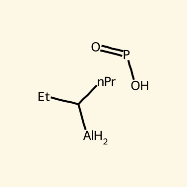 CCC[CH]([AlH2])CC.O=PO